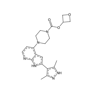 Cc1n[nH]c(C)c1-c1cc2c(N3CCN(C(=O)OC4COC4)CC3)ccnc2[nH]1